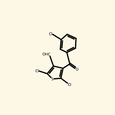 O=Cc1c(Cl)sc(Cl)c1C(=O)c1cccc(Cl)c1